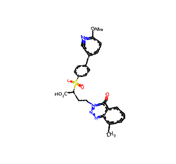 COc1ccc(-c2ccc(S(=O)(=O)C(CCn3nnc4c(C)cccc4c3=O)C(=O)O)cc2)cn1